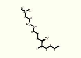 CCCCC(C)C(=O)CCCSSCCN(C)C